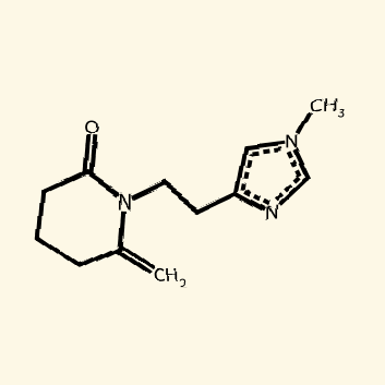 C=C1CCCC(=O)N1CCc1cn(C)cn1